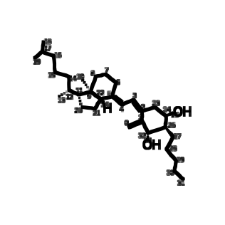 C=C1C(=CC=C2CCC[C@]3(C)[C@@H]([C@H](C)CCCC(C)C)CC[C@@H]23)C[C@@H](O)[C@@H](CCCCC)[C@@H]1O